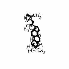 CC[C@]12CC[C@@](C)(O)C[C@H]1CC[C@H]1[C@@H]3CC[C@H](C(=O)Cn4nncc4C)[C@@]3(C)CC[C@@H]12